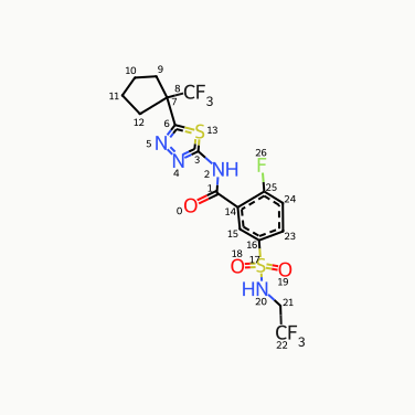 O=C(Nc1nnc(C2(C(F)(F)F)CCCC2)s1)c1cc(S(=O)(=O)NCC(F)(F)F)ccc1F